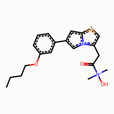 CCCCOc1cccc(-c2cc3scc(CC(=O)[N+](C)(C)O)n3c2)c1